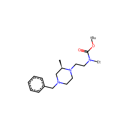 CCN(CCN1CCN(Cc2ccccc2)C[C@H]1C)C(=O)OC(C)(C)C